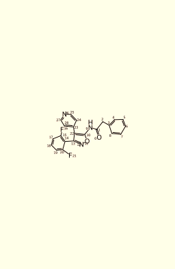 O=C(Cc1ccccc1)Nc1onc(-c2c(F)cccc2F)c1-c1ccncc1